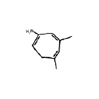 CC1=CC(N)=CCC(C)=C1